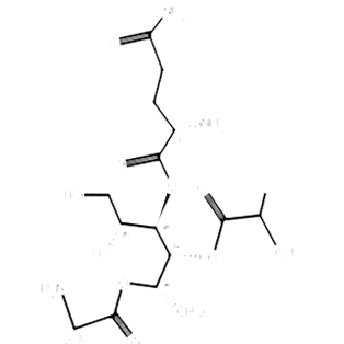 CC(O)C(=O)O[C@@H]([C@H](OC(=O)[C@@H](N)CCC(N)=O)[C@H](O)CO)[C@H](C=O)OC(=O)[C@H](C)N